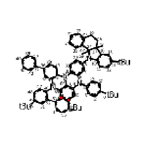 CC(C)(C)c1ccc(N2c3cc(N4c5ccc(C(C)(C)C)cc5C5(C)CCc6ccccc6C45C)ccc3B3c4ccc(-c5ccccc5)cc4N(c4ccc(C(C)(C)C)cc4-c4ccccc4)c4cc(C(C)(C)C)cc2c43)cc1